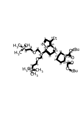 CCc1cnn2c(N(COCC[Si](C)(C)C)COCC[Si](C)(C)C)cc([C@H]3CC[C@@H](C(=O)OC(C)(C)C)N(C(=O)OC(C)(C)C)C3)nc12